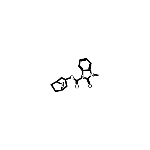 CN1C2CCC1CC(OC(=O)n1c(=O)n(C)c3ccccc31)C2